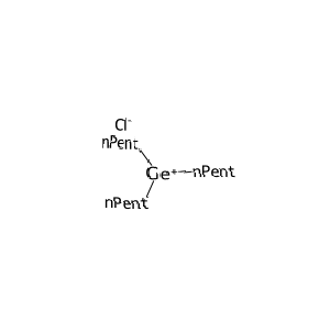 CCCC[CH2][Ge+]([CH2]CCCC)[CH2]CCCC.[Cl-]